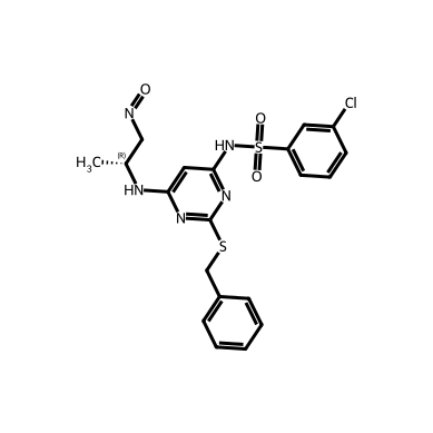 C[C@H](CN=O)Nc1cc(NS(=O)(=O)c2cccc(Cl)c2)nc(SCc2ccccc2)n1